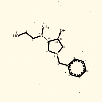 CN(CCO)[C@H]1CN(Cc2ccccc2)C[C@@H]1O